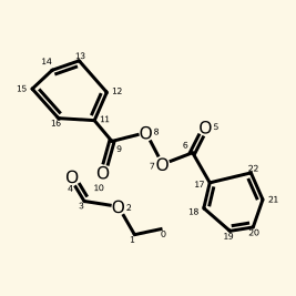 CCOC=O.O=C(OOC(=O)c1ccccc1)c1ccccc1